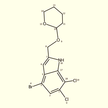 Clc1cc(Br)c2cc(COC3CCCCO3)[nH]c2c1Cl